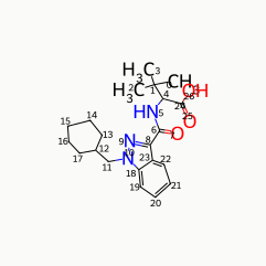 CC(C)(C)C(NC(=O)c1nn(CC2CCCCC2)c2ccccc12)C(=O)O